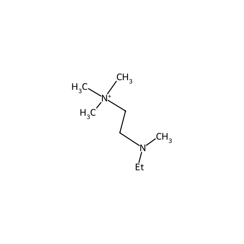 CCN(C)CC[N+](C)(C)C